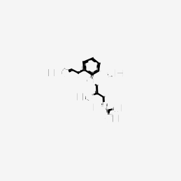 C=CCc1ccccc1OCC(O)CNC(C)C.Cl